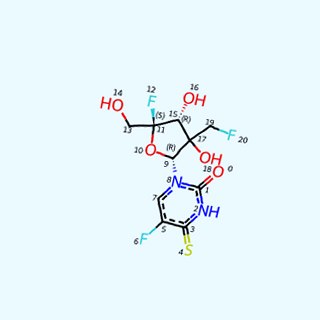 O=c1[nH]c(=S)c(F)cn1[C@@H]1O[C@](F)(CO)[C@H](O)C1(O)CF